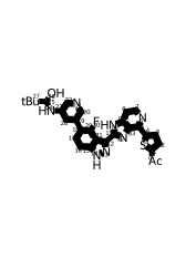 CC(=O)c1ccc(-c2nccc3[nH]c(-c4n[nH]c5ccc(-c6cncc(NC(O)C(C)(C)C)c6)c(F)c45)nc23)s1